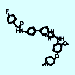 COc1cc(OC2CCN(C)CC2)ccc1Nc1nc2ccc(-c3ccc(NC(=O)Cc4ccc(F)cc4)cc3)cn2n1